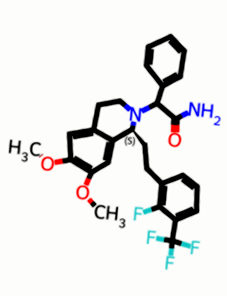 COc1cc2c(cc1OC)[C@H](CCc1cccc(C(F)(F)F)c1F)N(C(C(N)=O)c1ccccc1)CC2